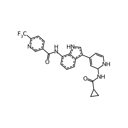 O=C(Nc1cccc2c(C3=CC(NC(=O)C4CC4)NC=C3)c[nH]c12)c1ccc(C(F)(F)F)nc1